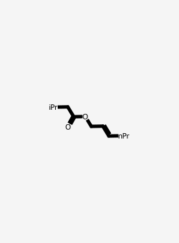 CCC/C=C/COC(=O)CC(C)C